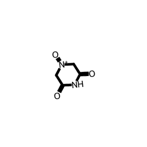 O=C1C[N+](=O)CC(=O)N1